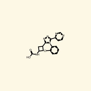 O=C(O)NC1CC(c2nnc(-c3ccncn3)n2-c2ccccc2Cl)C1